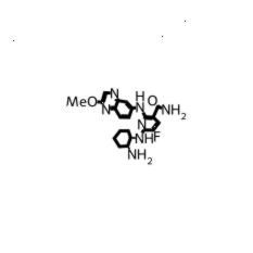 COc1cnc2cc(Nc3nc(N[C@@H]4CCCC[C@@H]4N)c(F)cc3C(N)=O)ccc2n1